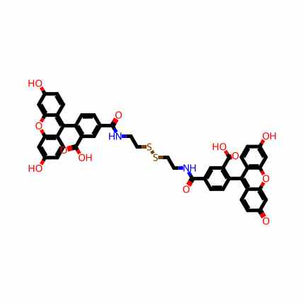 O=C(NCCSSCCNC(=O)c1ccc(-c2c3ccc(=O)cc-3oc3cc(O)ccc23)c(C(=O)O)c1)c1ccc(C2=C3C=CC(O)C=C3Oc3cc(O)ccc32)c(C(=O)O)c1